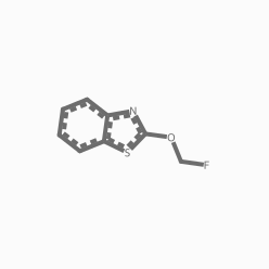 FCOc1nc2ccccc2s1